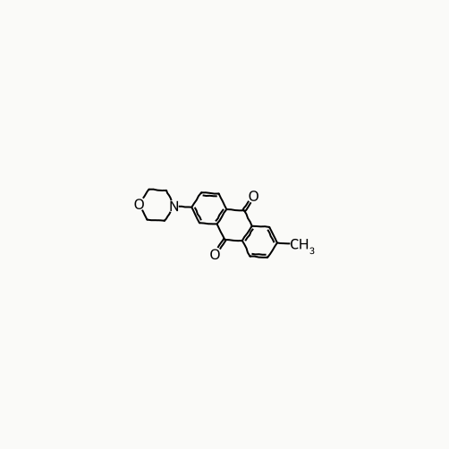 Cc1ccc2c(c1)C(=O)c1ccc(N3CCOCC3)cc1C2=O